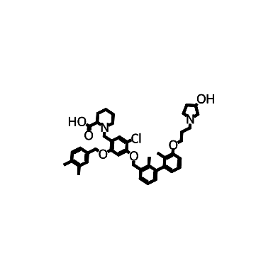 Cc1ccc(COc2cc(OCc3cccc(-c4cccc(OCCCN5CCC(O)C5)c4C)c3C)c(Cl)cc2CN2CCCCC2C(=O)O)cc1C